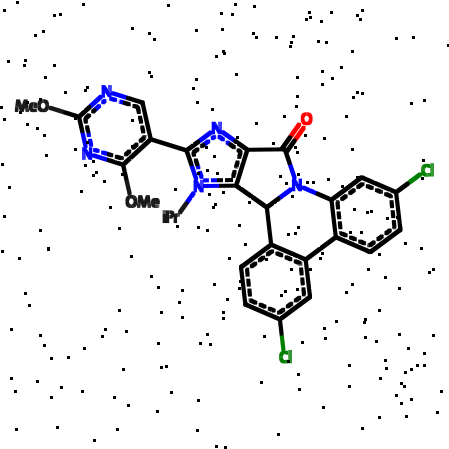 COc1ncc(-c2nc3c(n2C(C)C)C2c4ccc(Cl)cc4-c4ccc(Cl)cc4N2C3=O)c(OC)n1